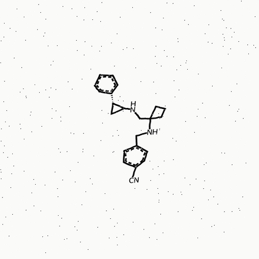 N#Cc1ccc(CNC2(CNC3C[C@@H]3c3ccccc3)CCC2)cc1